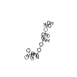 CC(C)(C)N(C(=O)O)C1CCC(C(=O)N2CCC[C@H]2c2ncc(-c3ccc(-c4ccc(-c5cnc([C@@H]6CCCN6C(=O)[C@@H](c6ccccc6)N6CCCCC6)[nH]5)cc4)cc3)[nH]2)CC1